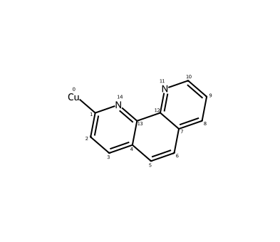 [Cu][c]1ccc2ccc3cccnc3c2n1